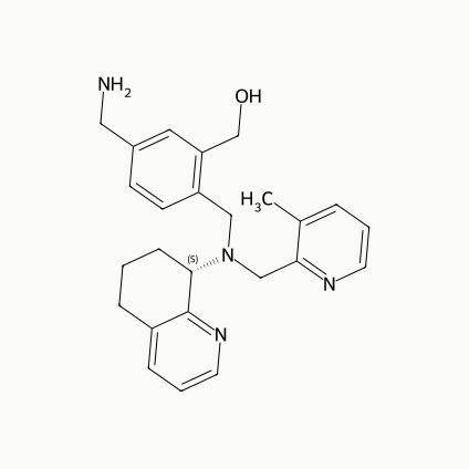 Cc1cccnc1CN(Cc1ccc(CN)cc1CO)[C@H]1CCCc2cccnc21